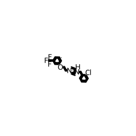 FC(F)(F)c1c[c]cc(OCCN2C[C@@H]3CC2CN3Cc2ccccc2Cl)c1